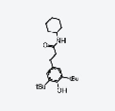 CC(C)(C)c1cc(CCC(=O)NC2CCCCC2)cc(C(C)(C)C)c1O